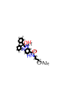 CCn1c(C(O)(c2ccccc2)c2ccccc2)nc2ccc(C(=O)NCCCOC)cc21